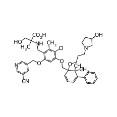 Cc1c(Cl)c(OCC2(OCCCN3CC[C@@H](O)C3)C=CC=C(c3ccccc3)C2(C)C)cc(OCc2cncc(C#N)c2)c1CNC(C)(CO)C(=O)O